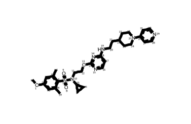 COc1cc(C)c(S(=O)(=O)N(CCOc2nccc(NCCC3CCN(c4ccncc4)CC3)n2)C2CC2)c(C)c1